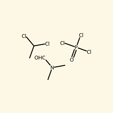 CC(Cl)Cl.CN(C)C=O.O=P(Cl)(Cl)Cl